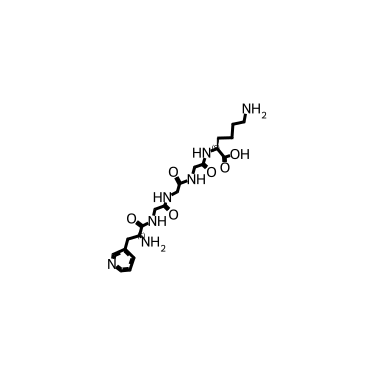 NCCCC[C@H](NC(=O)CNC(=O)CNC(=O)CNC(=O)[C@@H](N)Cc1cccnc1)C(=O)O